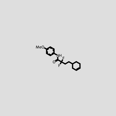 COc1ccc(NC(=O)C(F)(F)CCC2CC=CCC2)cc1